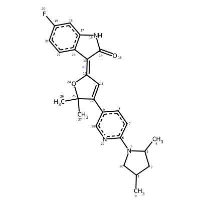 CC1CC(C)N(c2ccc(C3=C/C(=C4\C(=O)Nc5cc(F)ccc54)OC3(C)C)cn2)C1